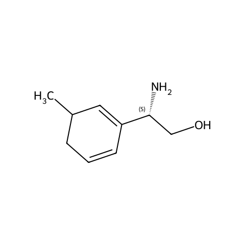 CC1C=C([C@H](N)CO)C=CC1